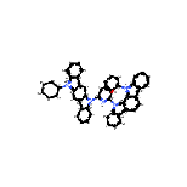 c1ccc(-n2c3ccccc3c3ccc4c5ccccc5n(-c5cccc(-n6c7ccccc7c7cc8c(cc76)c6ccccc6n8C6CCCCC6)n5)c4c32)cc1